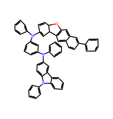 C1=CC2Oc3cc4cc(-c5ccccc5)ccc4cc3C2C=C1N(c1ccccc1)c1cccc(N(c2ccccc2)c2ccc3c(c2)c2ccccc2n3-c2ccccc2)c1